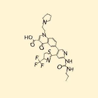 CCCNC(=O)Nc1cc(C2=NC(C(F)(F)F)CS2)c(-c2ccc3c(c2)c(=O)c(C(=O)O)cn3CCN2CCCC2)cn1